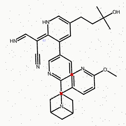 COc1ccc(CN2C3CC2CN(c2ccc(C4=CC(CCC(C)(C)O)=CN/C4=C(/C#N)C=N)cn2)C3)cn1